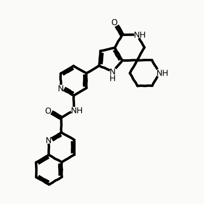 O=C(Nc1cc(-c2cc3c([nH]2)C2(CCCNC2)CNC3=O)ccn1)c1ccc2ccccc2n1